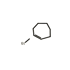 C1=CCCCCC1.CCC